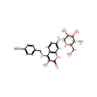 COc1ccc(COc2c(O)c(=O)oc3cc(O[C@H]4O[C@H](CO)[C@@H](O)[C@H](O)[C@@H]4O)ccc23)cc1